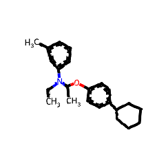 CCN(c1cccc(C)c1)C(C)Oc1ccc(C2CCCCC2)cc1